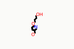 O=Cc1ccc(OCCCCO)nc1